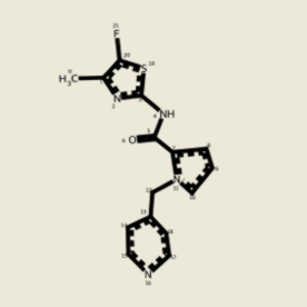 Cc1nc(NC(=O)c2cccn2Cc2ccncc2)sc1F